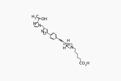 C[C@H](O)c1nccn1Cc1cc(-c2ccc(C#C[C@H]3[C@H]4CN(CCCCCC(=O)O)C[C@@H]34)cc2)on1